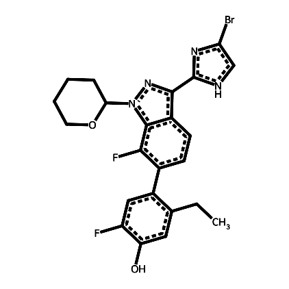 CCc1cc(O)c(F)cc1-c1ccc2c(-c3nc(Br)c[nH]3)nn(C3CCCCO3)c2c1F